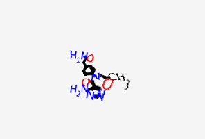 C[C@@H]1CN(c2ccc(CC(N)=O)cc2)C(=O)c2c(N)ncnc2O1